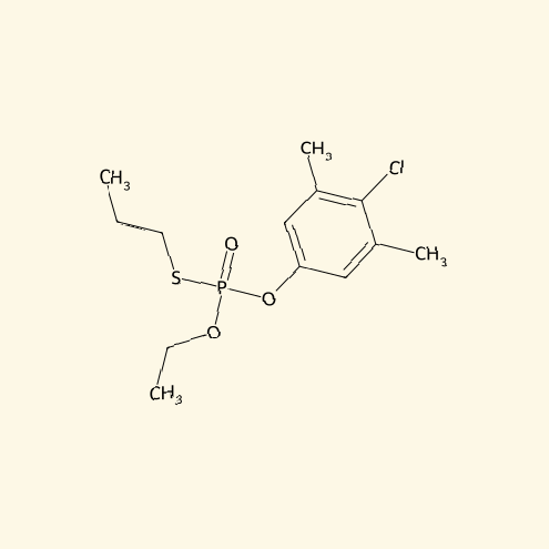 CCCSP(=O)(OCC)Oc1cc(C)c(Cl)c(C)c1